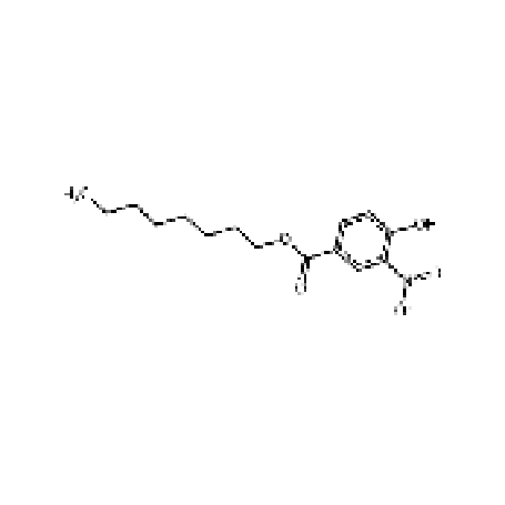 CCCCCCCCOC(=O)c1ccc(O)c([N+](=O)[O-])c1